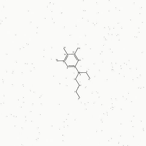 CCCCN(CC)c1cc(C)c(C)c(C)c1